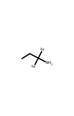 [2H]C([2H])(N)CC